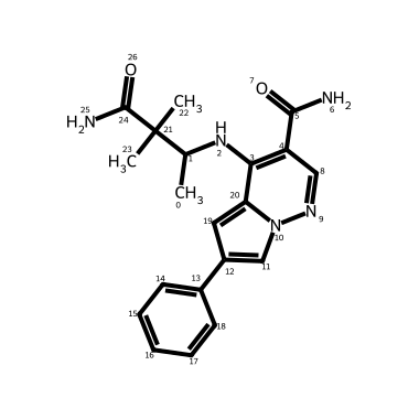 CC(Nc1c(C(N)=O)cnn2cc(-c3ccccc3)cc12)C(C)(C)C(N)=O